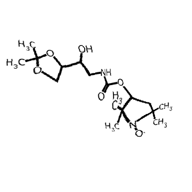 CC1(C)OCC(C(O)CNC(=O)OC2CC(C)(C)N([O])C2(C)C)O1